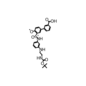 COc1ccc(-c2cccc(C(=O)O)c2)cc1[S+]([O-])Nc1cccc(NCCNC(=O)OC(C)(C)C)c1